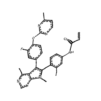 C=CC(=O)Nc1ccc(-c2c(-c3ccc(Oc4nccc(C)n4)c(F)c3)c3c(C)ncnc3n2C)c(C)c1